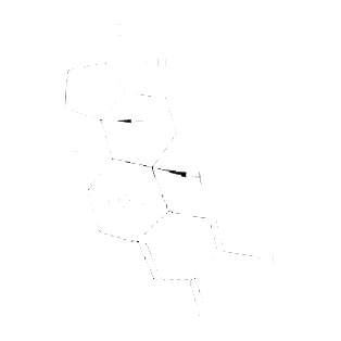 CC[C@H]1CC[C@H]2[C@@H]3CCC4=CC(=O)C(O)=C[C@]4(C)[C@H]3CC[C@]12C